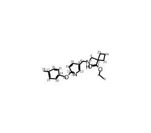 CCOC(=O)C1(CNCc2ccc(Oc3ccc(C)cc3)nc2)CCC1